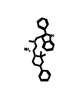 CN(CCN1CCC(c2ccccc2)CC1(C)C)Cc1c(-c2ccccc2)[nH]c2ccccc12.N